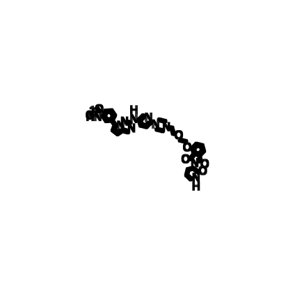 CS(=O)(=O)Nc1cccc(-c2ccc3cnc(Nc4ccc(N5CCN(CCOCCOc6cccc7c6C(=O)N(C6CCCNC6=O)C7=O)CC5)nc4)nn23)c1